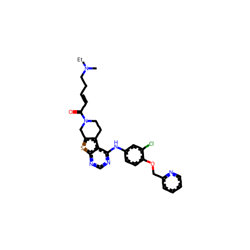 CCN(C)CC/C=C/C(=O)N1CCc2c(sc3ncnc(Nc4ccc(OCc5ccccn5)c(Cl)c4)c23)C1